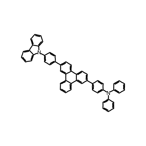 c1ccc(N(c2ccccc2)c2ccc(-c3ccc4c5ccc(-c6ccc(-n7c8ccccc8c8ccccc87)cc6)cc5c5ccccc5c4c3)cc2)cc1